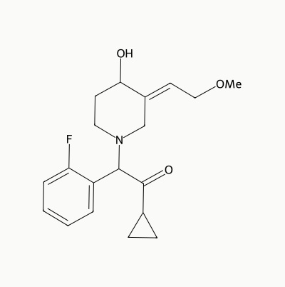 COC/C=C1\CN(C(C(=O)C2CC2)c2ccccc2F)CCC1O